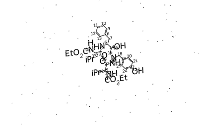 CCOC(=O)N[C@H](C(=O)N[C@@H](Cc1ccccc1)[C@@H](O)CN(Cc1ccc(O)cc1)NC(=O)[C@@H](NC(=O)OCC)C(C)C)C(C)C